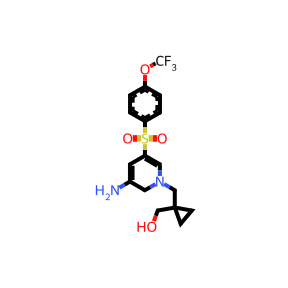 NC1=CC(S(=O)(=O)c2ccc(OC(F)(F)F)cc2)=CN(CC2(CO)CC2)C1